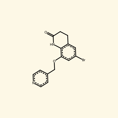 O=C1CCc2cc(Br)cc(OCc3ccncc3)c2N1